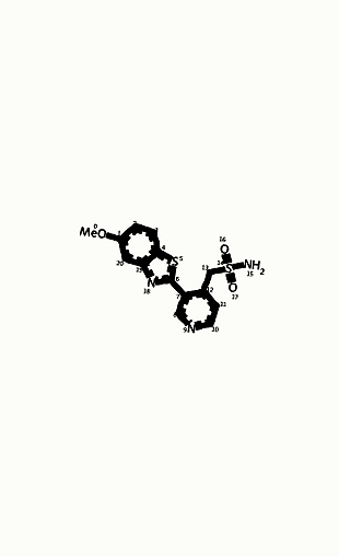 COc1ccc2sc(-c3cnccc3CS(N)(=O)=O)nc2c1